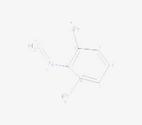 C=Nc1c(C(C)C)cccc1C(C)C